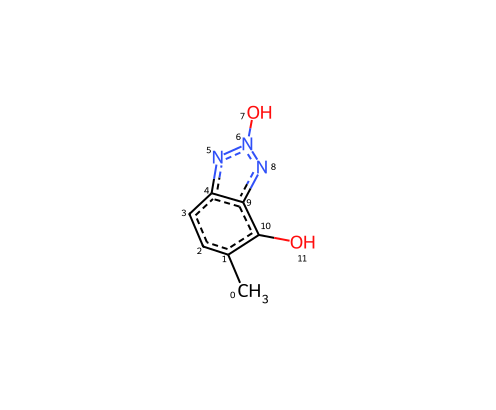 Cc1ccc2nn(O)nc2c1O